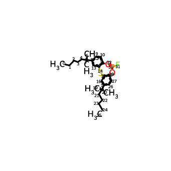 CCCCCC(C)(C)c1ccc2c(c1)Sc1cc(C(C)(C)CCCCC)ccc1OP(F)O2